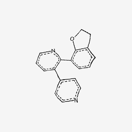 c1cnc(-c2cccc3c2OCC3)c(-c2ccncc2)c1